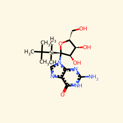 CC(C)(C)[Si](C)(C)[C@@]1(n2cnc3c(=O)[nH]c(N)nc32)O[C@H](CO)[C@@H](O)[C@H]1O